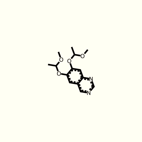 COC(C)Oc1cc2cncnc2cc1OC(C)OC